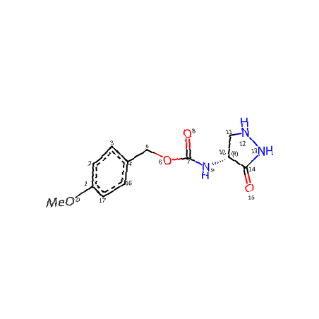 COc1ccc(COC(=O)N[C@@H]2CNNC2=O)cc1